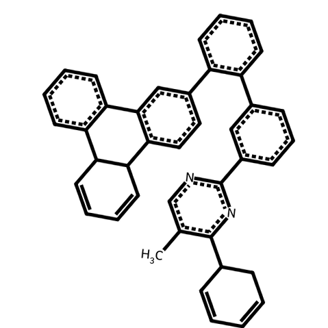 Cc1cnc(-c2cccc(-c3ccccc3-c3ccc4c(c3)-c3ccccc3C3C=CC=CC43)c2)nc1C1C=CC=CC1